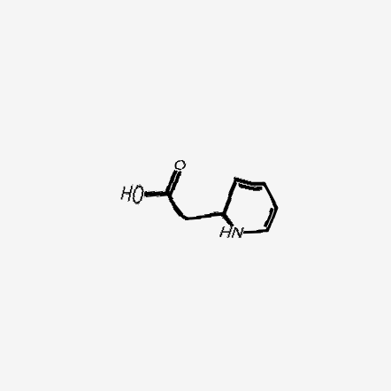 O=C(O)C[C]1C=CC=CN1